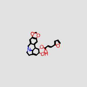 O=C(/C=C/c1ccco1)O[C@H]1C2c3cc4c(cc3CN3CCC(=C[C@@H]1O)C23)OCO4